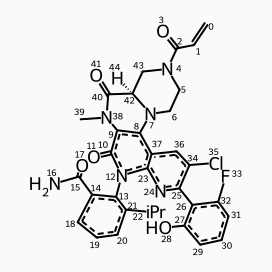 C=CC(=O)N1CCN2c3c(c(=O)n(-c4c(C(N)=O)cccc4C(C)C)c4nc(-c5c(O)cccc5F)c(Cl)cc34)N(C)C(=O)[C@H]2C1